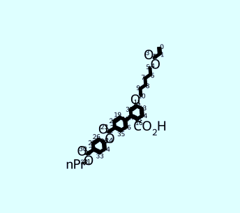 C=CC(=O)OCCCCCCOc1ccc(C(=O)O)c(-c2ccc(C(=O)Oc3ccc(C(=O)OCCC)cc3)cc2)c1